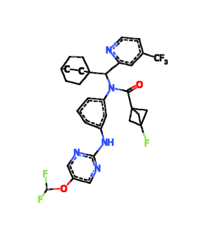 O=C(N(c1cccc(Nc2ncc(OC(F)F)cn2)c1)C(c1cc(C(F)(F)F)ccn1)C12CCC(CC1)CC2)C12CC(F)(C1)C2